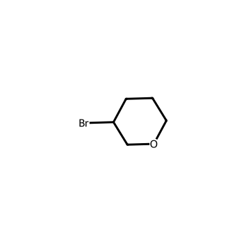 BrC1CCCOC1